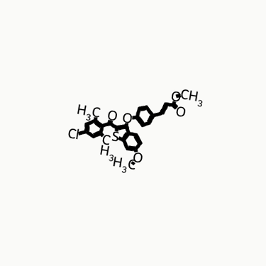 COC(=O)/C=C/c1ccc(Oc2c(C(=O)c3c(C)cc(Cl)cc3C)sc3cc(OC)ccc23)cc1